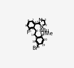 CCCCN1CCN=C1c1cccc(F)c1CCc1cc(Br)ccc1OC